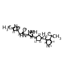 C=C(C)c1ccncc1O[C@@H]1CC[C@H](c2cc(NC(=O)Cc3cc(C)no3)n[nH]2)C1